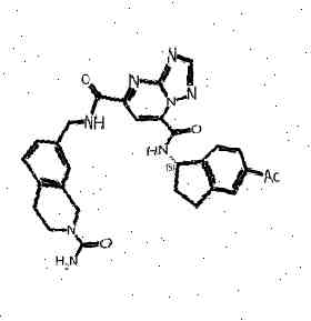 CC(=O)c1ccc2c(c1)CC[C@@H]2NC(=O)c1cc(C(=O)NCc2ccc3c(c2)CN(C(N)=O)CC3)nc2ncnn12